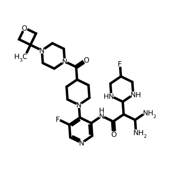 CC1(N2CCN(C(=O)C3CCN(c4c(F)cncc4NC(=O)C(C(N)N)C4NCC(F)CN4)CC3)CC2)COC1